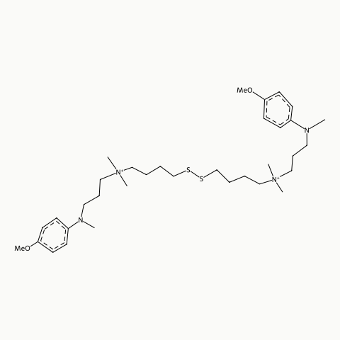 COc1ccc(N(C)CCC[N+](C)(C)CCCCSSCCCC[N+](C)(C)CCCN(C)c2ccc(OC)cc2)cc1